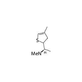 CN[C@H](C)C1CC(C)=CS1